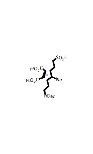 CCCCCCCCCCCCC[CH]([Na])CCCS(=O)(=O)O.O=C(O)/C=C\C(=O)O